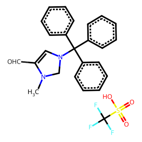 CN1CN(C(c2ccccc2)(c2ccccc2)c2ccccc2)C=C1C=O.O=S(=O)(O)C(F)(F)F